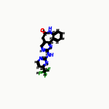 O=C1Cc2cnc(Nc3nccc(C(F)(F)F)n3)nc2-c2ccccc2N1